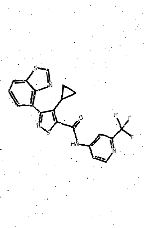 O=C(Nc1ccnc(C(F)(F)F)c1)c1snc(-c2cccc3scnc23)c1C1CC1